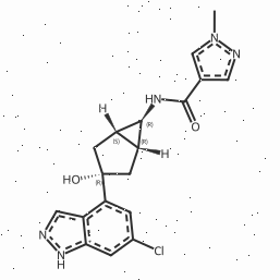 Cn1cc(C(=O)N[C@H]2[C@@H]3C[C@@](O)(c4cc(Cl)cc5[nH]ncc45)C[C@@H]32)cn1